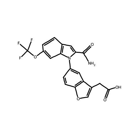 NC(=O)c1cc2ccc(OC(F)(F)F)cc2n1-c1ccc2occ(CC(=O)O)c2c1